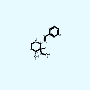 C[C@@]1(CO)[C@H](O)CCO[C@@H]1/C=C/c1ccccc1